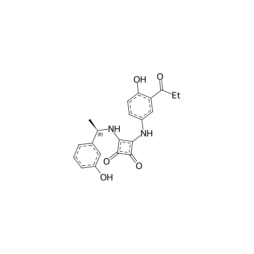 CCC(=O)c1cc(Nc2c(N[C@H](C)c3cccc(O)c3)c(=O)c2=O)ccc1O